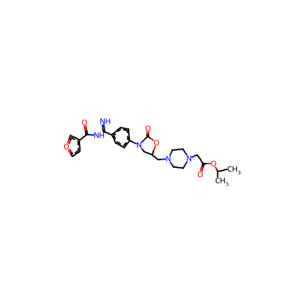 CC(C)OC(=O)CN1CCN(CC2CN(c3ccc(C(=N)NC(=O)c4ccoc4)cc3)C(=O)O2)CC1